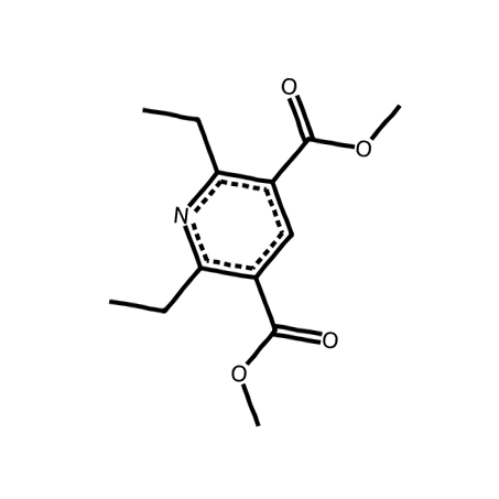 CCc1nc(CC)c(C(=O)OC)cc1C(=O)OC